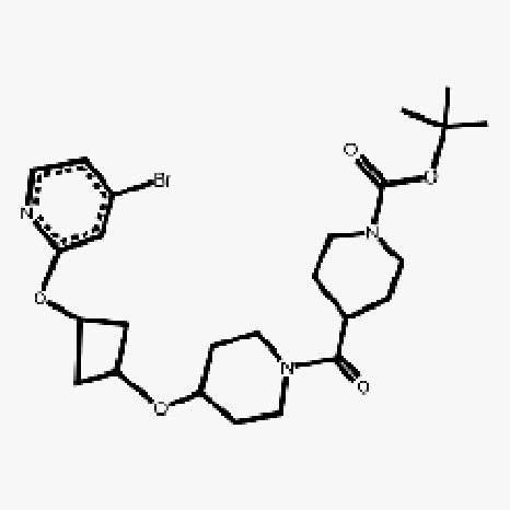 CC(C)(C)OC(=O)N1CCC(C(=O)N2CCC(OC3CC(Oc4cc(Br)ccn4)C3)CC2)CC1